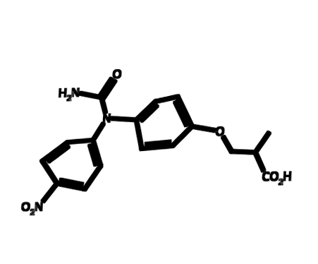 CC(COc1ccc(N(C(N)=O)c2ccc([N+](=O)[O-])cc2)cc1)C(=O)O